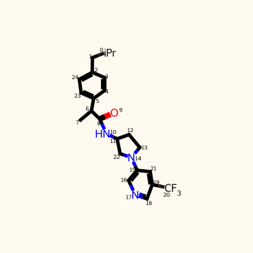 CC(C)Cc1ccc(C(C)C(=O)NC2CCN(c3cncc(C(F)(F)F)c3)C2)cc1